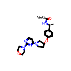 COC(=O)N[C@@H](C)c1ccc(OC2CCN(c3ccnc(N4CCOCC4)n3)C2)cc1